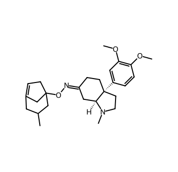 COc1ccc([C@@]23CC/C(=N/OC45CC=C(CC(C)C4)C5)C[C@@H]2N(C)CC3)cc1OC